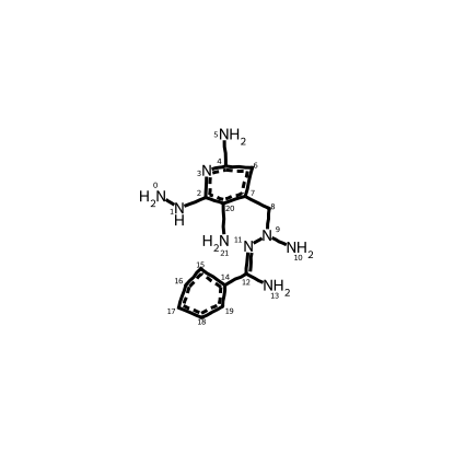 NNc1nc(N)cc(CN(N)/N=C(\N)c2ccccc2)c1N